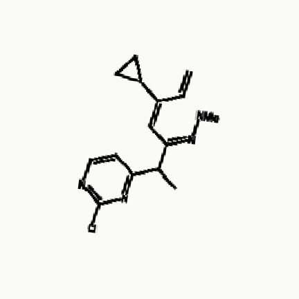 C=C/C(=C\C(=N/NC)C(C)c1ccnc(Cl)n1)C1CC1